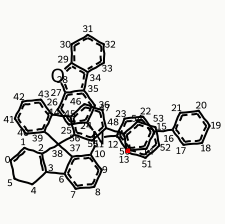 C1=CC2=C(CC1)c1cccc(N(c3ccc(-c4ccccc4)cc3)c3ccc4oc5ccccc5c4c3)c1C21c2ccccc2-c2ccc(-c3ccccc3)cc21